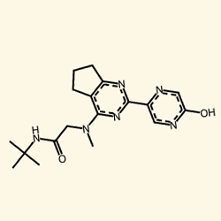 CN(CC(=O)NC(C)(C)C)c1nc(-c2cnc(O)cn2)nc2c1CCC2